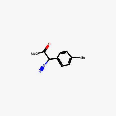 COC(=O)C([N+]#N)c1ccc(C(C)(C)C)cc1